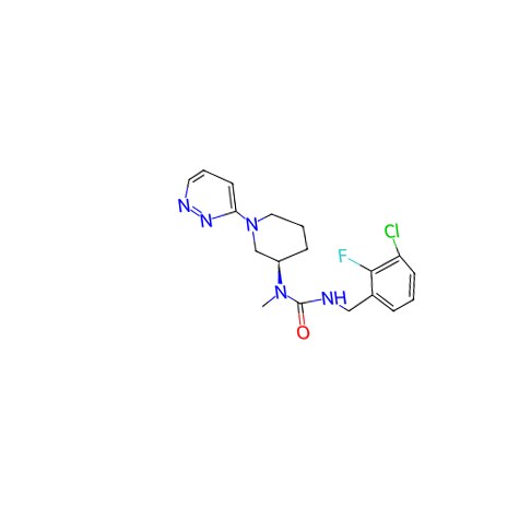 CN(C(=O)NCc1cccc(Cl)c1F)[C@@H]1CCCN(c2cccnn2)C1